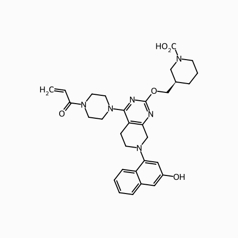 C=CC(=O)N1CCN(c2nc(OC[C@@H]3CCCN(C(=O)O)C3)nc3c2CCN(c2cc(O)cc4ccccc24)C3)CC1